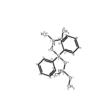 CO[SiH](C)O[Si](O[SiH](C)OC)(c1ccccc1)c1ccccc1